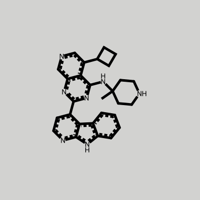 CC1(Nc2nc(-c3ccnc4[nH]c5ccccc5c34)nc3cncc(C4CCC4)c23)CCNCC1